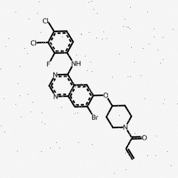 C=CC(=O)N1CCC(Oc2cc3c(Nc4ccc(Cl)c(Cl)c4F)ncnc3cc2Br)CC1